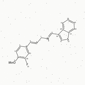 COc1ccc(C=CCN=Cc2csc3ccccc23)cc1F